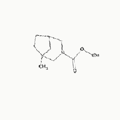 CC12CCC(CN(C(=O)OC(C)(C)C)C1)C2